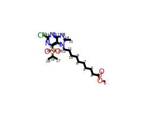 COC(=O)CCCCCCCCCn1c(C)nc2nc(Cl)nc(S(=O)(=O)C(C)C)c21